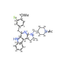 COc1ccc(Cc2nc3c(c4c2[nH]c2ccccc24)CC(C)N3CC2CCN(C(C)=O)CC2)cc1F